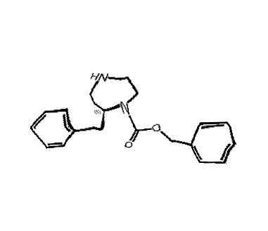 O=C(OCc1ccccc1)N1CCNC[C@@H]1Cc1ccccc1